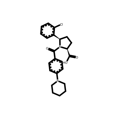 O=C(O)[C@@H]1CC[C@H](c2ccccc2Cl)N1C(=O)c1ccc(N2CCCCC2)cc1